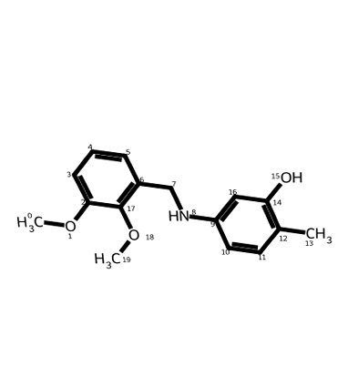 COc1cccc(CNc2ccc(C)c(O)c2)c1OC